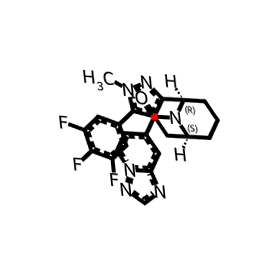 Cn1nc2c(c1-c1cc(F)c(F)c(F)c1)C[C@@H]1CCC[C@H]2N1C(=O)c1ccn2ncnc2c1